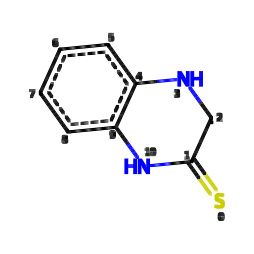 S=C1[CH]Nc2ccccc2N1